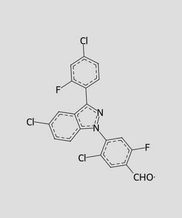 O=[C]c1cc(Cl)c(-n2nc(-c3ccc(Cl)cc3F)c3cc(Cl)ccc32)cc1F